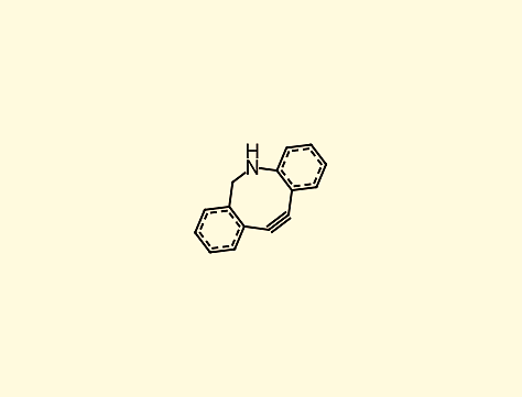 C1#Cc2ccccc2NCc2ccccc21